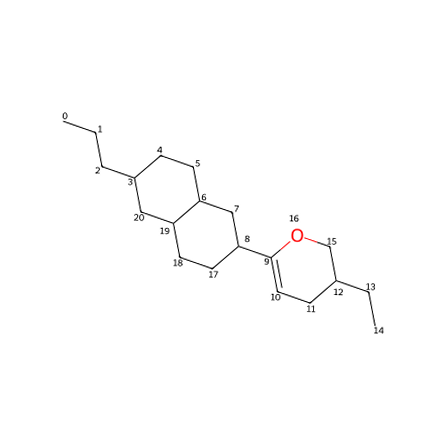 CCCC1CCC2CC(C3=CCC(CC)CO3)CCC2C1